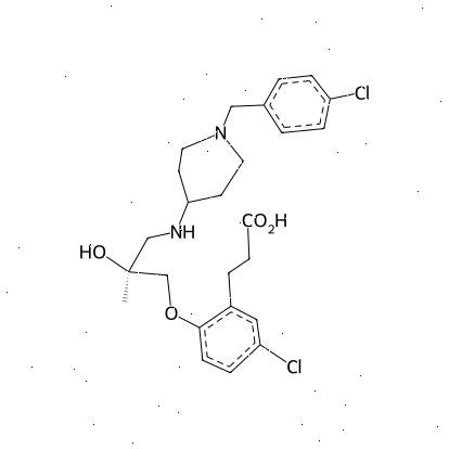 C[C@](O)(CNC1CCN(Cc2ccc(Cl)cc2)CC1)COc1ccc(Cl)cc1CCC(=O)O